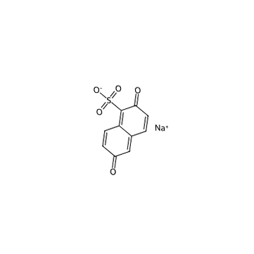 O=C1C=CC2=C(S(=O)(=O)[O-])C(=O)C=CC2=C1.[Na+]